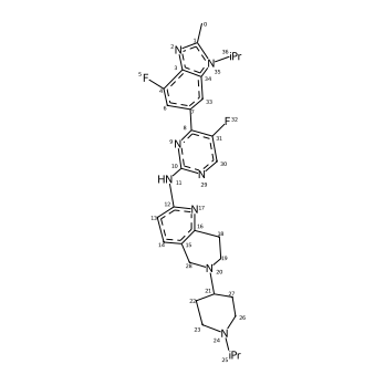 Cc1nc2c(F)cc(-c3nc(Nc4ccc5c(n4)CCN(C4CCN(C(C)C)CC4)C5)ncc3F)cc2n1C(C)C